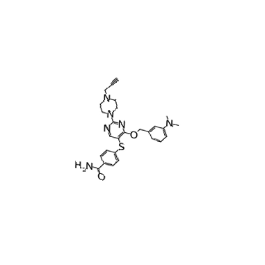 C#CCN1CCN(c2ncc(Sc3ccc(C(N)=O)cc3)c(OCc3cccc(N(C)C)c3)n2)CC1